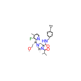 COCC[C@H](c1nccc(C)c1F)N1C[C@@H](C)N(C(=O)C(C)C)[C@@H](C(=O)NCc2ccc(C3CC3)cc2)C1